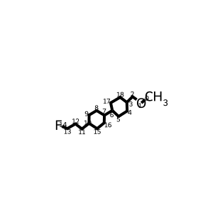 COCC1CCC(C2CCC(CCCF)CC2)CC1